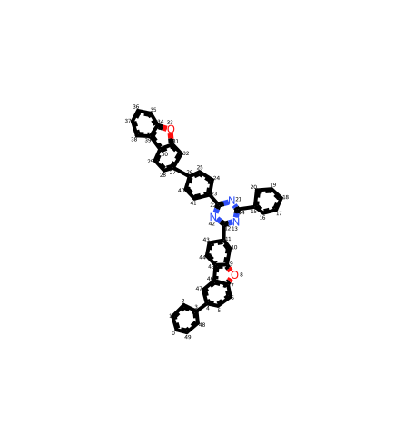 c1ccc(-c2ccc3oc4cc(-c5nc(-c6ccccc6)nc(-c6ccc(-c7ccc8c(c7)oc7ccccc78)cc6)n5)ccc4c3c2)cc1